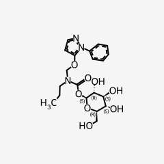 CCCN(COc1ccnn1-c1ccccc1)C(=O)O[C@@H]1O[C@H](CO)[C@@H](O)[C@H](O)[C@H]1O